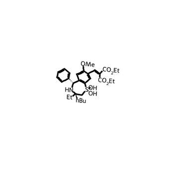 CCCC[C@]1(CC)CS(O)(O)c2cc(C=C(C(=O)OCC)C(=O)OCC)c(OC)cc2[C@@H](c2ccccc2)N1